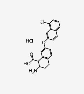 Cl.NC1CCc2ccc(Oc3ccc4cccc(Cl)c4c3)cc2C1C(=O)O